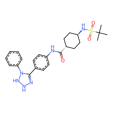 CC(C)(C)S(=O)(=O)N[C@H]1CC[C@H](C(=O)Nc2ccc(C3=NNNN3c3ccccc3)cc2)CC1